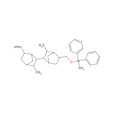 CCCCCCC1CC2CC1C(C1C3CC(CO[Si](C)(c4ccccc4)c4ccccc4)C(C3)C1C)C2C